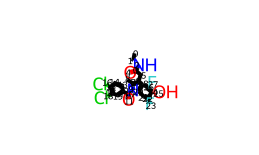 CCNC(=O)Cc1c(C)n(C(=O)c2ccc(Cl)c(Cl)c2)c2cc(F)c(O)c(F)c12